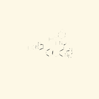 Cn1cc(-c2ccc(Cc3cc(C(=O)N[C@H]4CCOC[C@@H]4O)c4ncnn4c3)cc2)cn1